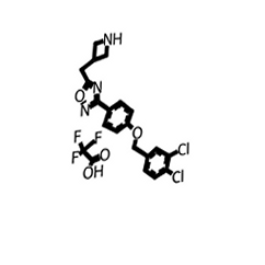 Clc1ccc(COc2ccc(-c3noc(CC4CNC4)n3)cc2)cc1Cl.O=C(O)C(F)(F)F